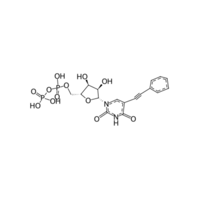 O=c1[nH]c(=O)n([C@@H]2O[C@H](COP(=O)(O)OP(=O)(O)O)[C@@H](O)[C@H]2O)cc1C#Cc1ccccc1